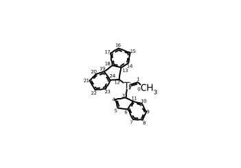 C[CH]=[Ti]([CH]1C=Cc2ccccc21)[CH]1c2ccccc2-c2ccccc21